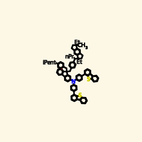 CCCC(C)c1ccc(CC2(Cc3ccc(C(CCC)C4(CC)CCc5cc6c(cc54)CCC6(C)CC)cc3)c3ccccc3-c3ccc(N(c4ccc(-c5cccc6c5sc5ccccc56)cc4)c4ccc(-c5cccc6c5sc5ccccc56)cc4)cc32)cc1